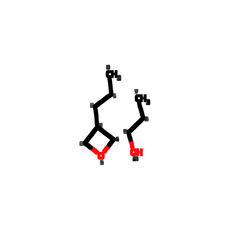 CCCC1COC1.CCCO